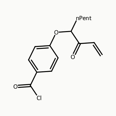 C=CC(=O)C(CCCCC)Oc1ccc(C(=O)Cl)cc1